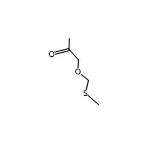 CSCOCC(C)=O